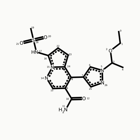 CCOC(C)n1cc(-c2c(C(N)=O)cnn3c(NS(C)(=O)=O)ccc23)cn1